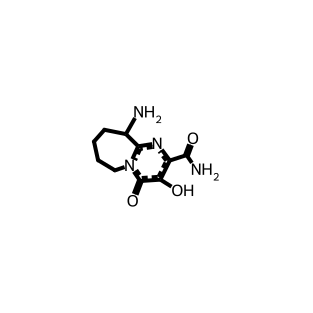 NC(=O)c1nc2n(c(=O)c1O)CCCCC2N